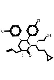 C=CC[C@@]1(C)C[C@H](c2cccc(Cl)c2)[C@@H](c2ccc(Cl)cc2)N([C@H](CCO)CCC2CC2)C1=O